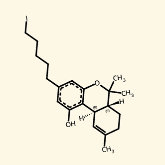 CC1=C[C@H]2c3c(O)cc(CCCCCI)cc3OC(C)(C)[C@@H]2CC1